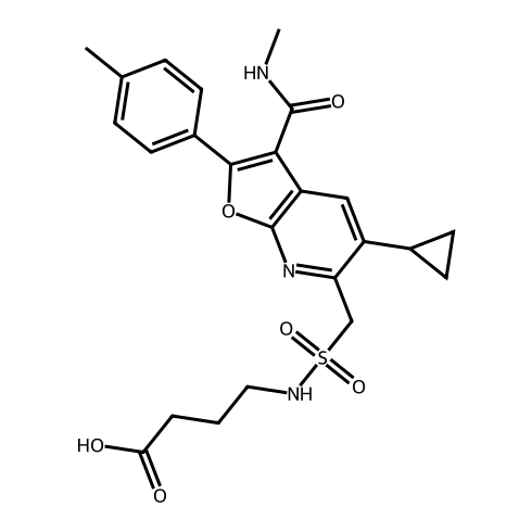 CNC(=O)c1c(-c2ccc(C)cc2)oc2nc(CS(=O)(=O)NCCCC(=O)O)c(C3CC3)cc12